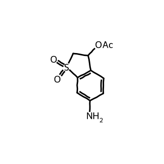 CC(=O)OC1CS(=O)(=O)c2cc(N)ccc21